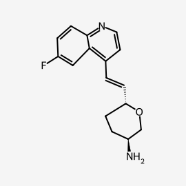 N[C@H]1CC[C@H](/C=C/c2ccnc3ccc(F)cc23)OC1